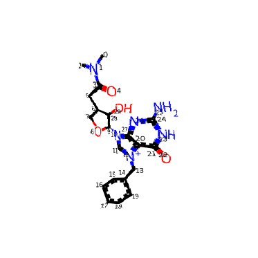 CN(C)C(=O)CC1CO[C@@H](n2c[n+](Cc3ccccc3)c3c(=O)[nH]c(N)nc32)C1O